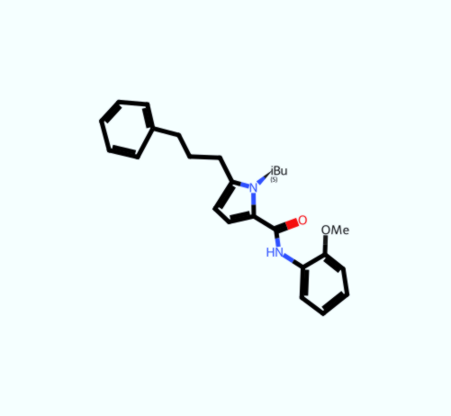 CC[C@H](C)n1c(CCCc2ccccc2)ccc1C(=O)Nc1ccccc1OC